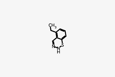 CCc1cccc2c1C=NNS2